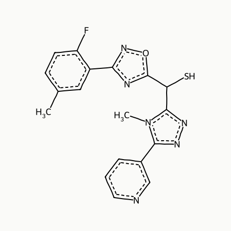 Cc1ccc(F)c(-c2noc(C(S)c3nnc(-c4cccnc4)n3C)n2)c1